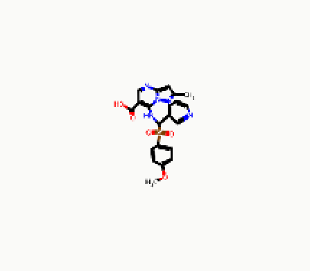 COc1ccc(S(=O)(=O)C(Nc2c(C(=O)O)cnc3cc(C)nn23)c2cccnc2)cc1